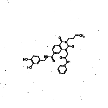 C=CCCn1c(=O)c2ccc(C(=O)NCc3ccc(O)c(O)c3)cc2n(CC(=O)Nc2ccccc2)c1=O